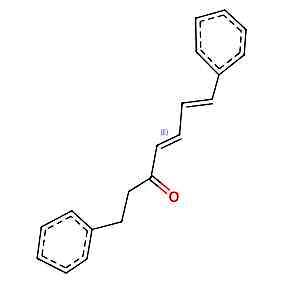 O=C(/C=C/C=Cc1ccccc1)CCc1ccccc1